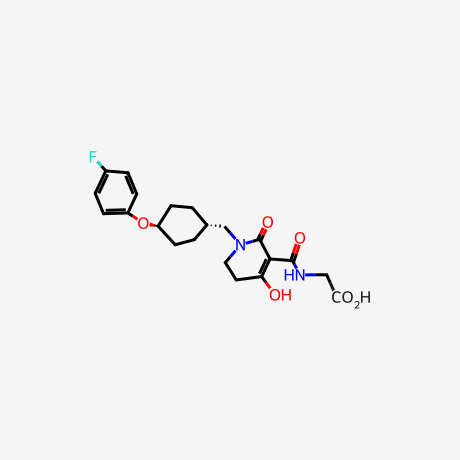 O=C(O)CNC(=O)C1=C(O)CCN(C[C@H]2CC[C@H](Oc3ccc(F)cc3)CC2)C1=O